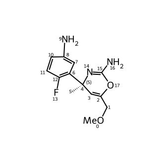 COCC1=C[C@@](C)(c2cc(N)ccc2F)N=C(N)O1